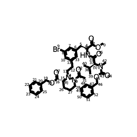 COC(=O)[C@H](Cc1cc(Br)cc(CCN2[C@@H](C(=O)OCc3ccccc3)CCCN2C(C)=O)c1)NC(=O)[C@H](C(C)C)N(C)C(=O)OCc1ccccc1